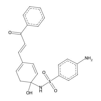 Nc1ccc(S(=O)(=O)NC2(O)C=CC(C=CC(=O)c3ccccc3)=CC2)cc1